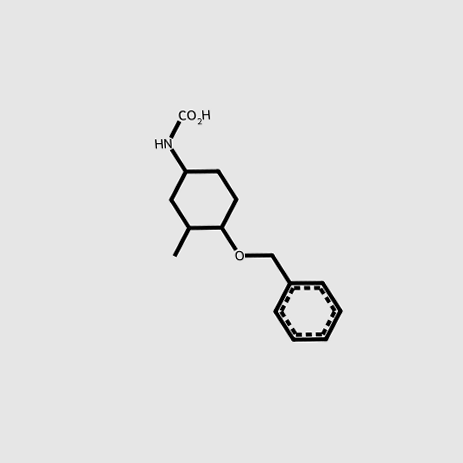 CC1CC(NC(=O)O)CCC1OCc1ccccc1